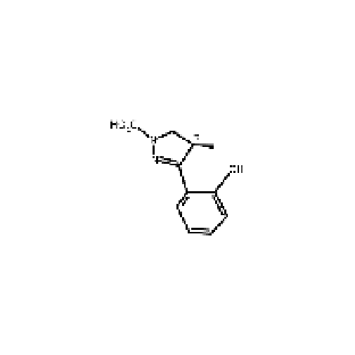 C[C@@H]1CN(C(=O)O)N=C1c1ccccc1O